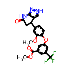 COC(=O)c1cc(Oc2ccc(C3CC(=O)Nc4n[nH]cc43)cc2OC)cc(C(F)(F)F)c1